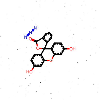 O=C1OC2(c3ccc(O)cc3Oc3cc(O)ccc32)c2ccccc21.[N-]=[N+]=[N-]